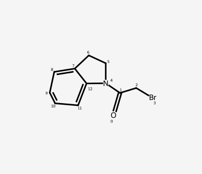 O=C(CBr)N1CCc2ccccc21